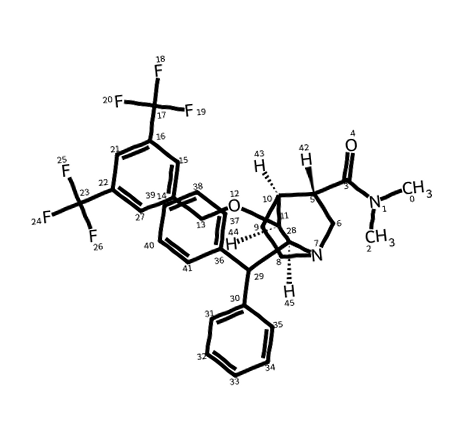 CN(C)C(=O)[C@@H]1CN2CC[C@@H]1[C@H](OCc1cc(C(F)(F)F)cc(C(F)(F)F)c1)[C@@H]2C(c1ccccc1)c1ccccc1